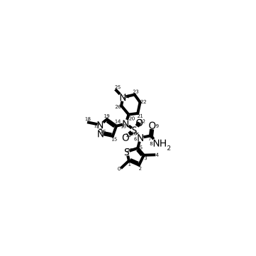 Cc1cc(C)c(N(C(N)=O)S(=O)(=O)N(c2cnn(C)c2)C2CCCN(C)C2)s1